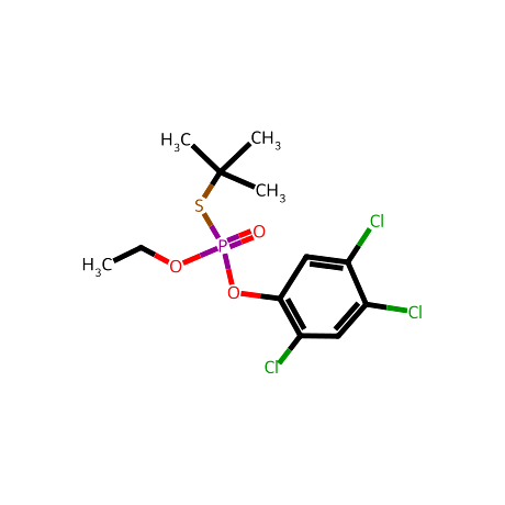 CCOP(=O)(Oc1cc(Cl)c(Cl)cc1Cl)SC(C)(C)C